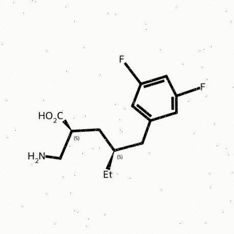 CC[C@H](Cc1cc(F)cc(F)c1)C[C@@H](CN)C(=O)O